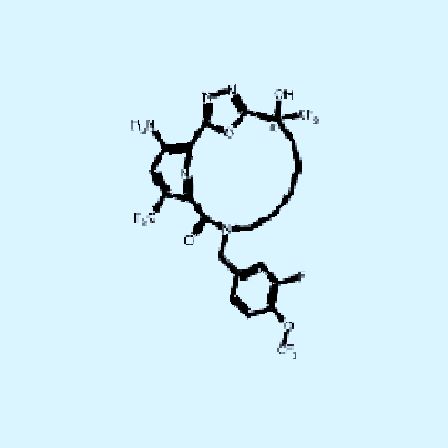 Nc1cc(C(F)(F)F)c2nc1-c1nnc(o1)[C@@](O)(C(F)(F)F)CCCCCN(Cc1ccc(OC(F)(F)F)c(F)c1)C2=O